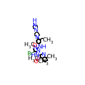 CCc1cc(Nc2ncc(Br)c(Nc3cnc4c(C)cccc4c3P(C)(C)=O)n2)c(OC)cc1N1CCC(N2CCNCC2)CC1